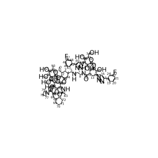 CCC1CC(CNCCNC(=O)C2CC(n3cc(-c4cccc(F)c4)nn3)C(O)[C@H](O[C@@H]3OC(CO)[C@H](O)C(n4cc(-c5cccc(F)c5)nn4)C3O)C2)C[C@@H](O[C@@H]2OC(CO)[C@H](O)C(O[C@@H](CC3CCCCC3)C(=O)N3CCC3)C2NC(C)=O)C1O[C@@H]1OC(C)[C@@H](O)C(O)C1O